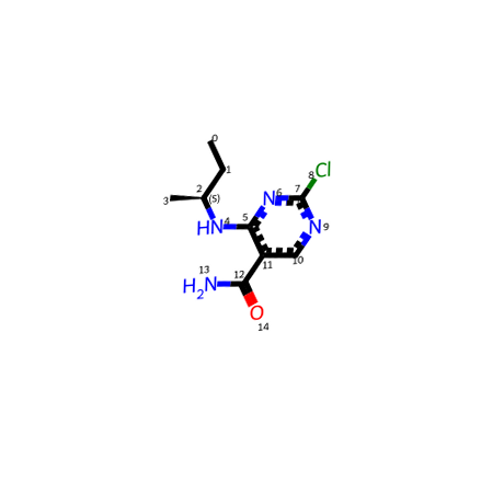 CC[C@H](C)Nc1nc(Cl)ncc1C(N)=O